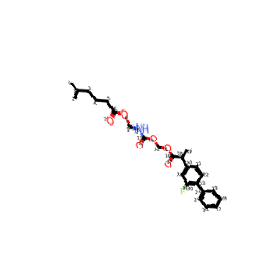 CC(C)CCCC(=O)OCNC(=O)OCOC(=O)C(C)c1ccc(-c2ccccc2)c(F)c1